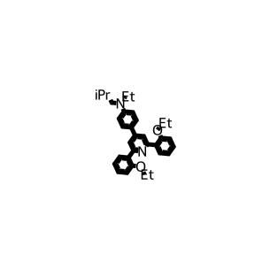 CCOc1ccccc1-c1cc(-c2ccc(N(CC)CC(C)C)cc2)cc(-c2ccccc2OCC)n1